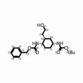 CC(C)(C)OC(=O)N[C@@H]1CC[C@H](NC(=O)OCc2ccccc2)[C@@H](CCO)C1